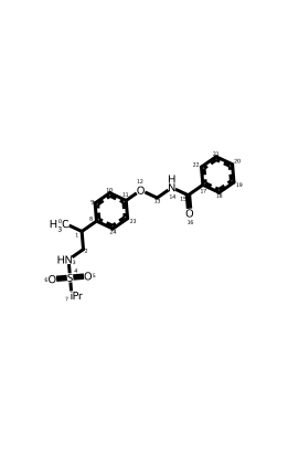 CC(CNS(=O)(=O)C(C)C)c1ccc(OCNC(=O)c2ccccc2)cc1